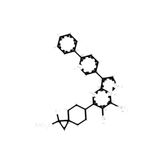 CCOC(=O)C1(F)CC12CCC(c1nc3c(-c4ccc(-c5ccccc5)nc4)cnn3c(N)c1Br)CC2